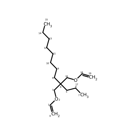 C=COCC(CCC)(CCCCCCCC)COC=C